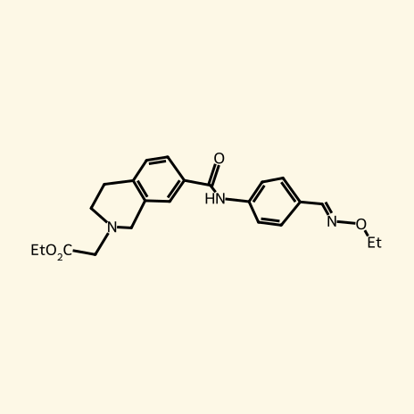 CCON=Cc1ccc(NC(=O)c2ccc3c(c2)CN(CC(=O)OCC)CC3)cc1